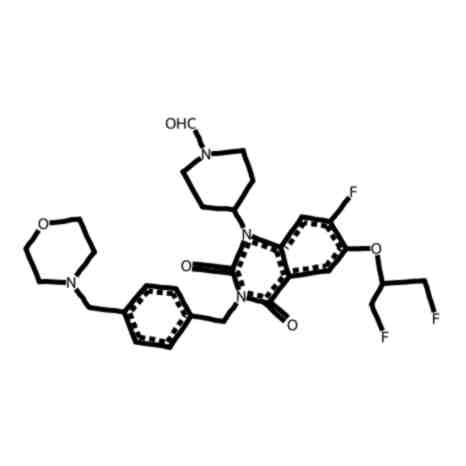 O=CN1CCC(n2c(=O)n(Cc3ccc(CN4CCOCC4)cc3)c(=O)c3cc(OC(CF)CF)c(F)cc32)CC1